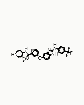 CO[C@@H]1CNCCC1NC(=O)c1cc(Oc2ccc3[nH]c(Nc4ccc(C(F)(F)F)cc4)nc3c2)ccn1